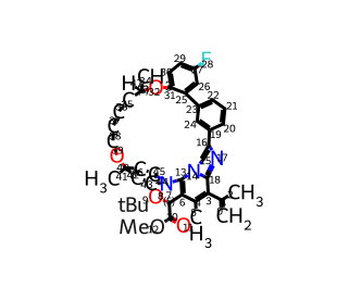 C=C(C)c1c(C)c([C@H](OC(C)(C)C)C(=O)OC)c2n3cc(nc13)-c1cccc(c1)-c1cc(F)ccc1O[C@@H](C)CCCCOC1(C)CCN2CC1